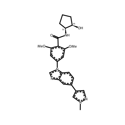 COc1cc(-n2cnc3cc(-c4cnn(C)c4)ccc32)cc(OC)c1C(=O)N[C@H]1CCC[C@H]1O